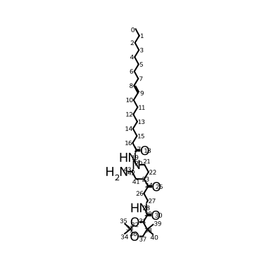 CCCCCCCCC=CCCCCCCCC(=O)NN1CCC(C(=O)CCNC(=O)C2OC(C)(C)OCC2(C)C)CC1N